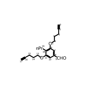 C#CCCCOc1cc(C=O)cc(OCCCC#C)c1CCC